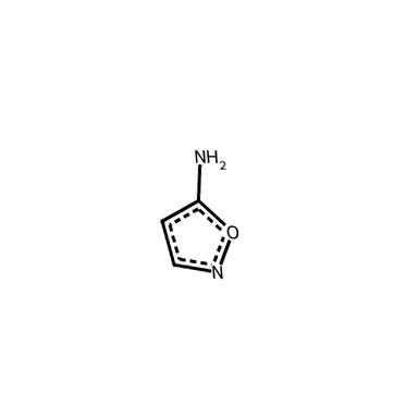 Nc1ccno1